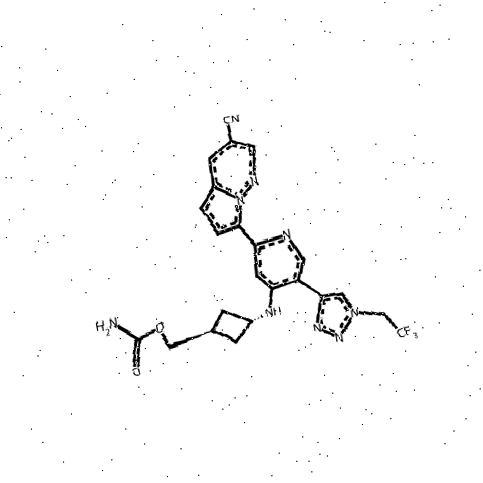 N#Cc1cnn2c(-c3cc(N[C@H]4C[C@H](COC(N)=O)C4)c(-c4cn(CC(F)(F)F)nn4)cn3)ccc2c1